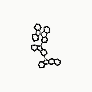 c1ccc2c(c1)-c1ccccc1[Si]21c2ccccc2-c2ccc(-n3c4ccccc4c4cc(-n5c6ccccc6c6cc7ccccc7cc65)ccc43)cc21